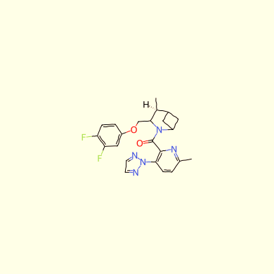 Cc1ccc(-n2nccn2)c(C(=O)N2C3CC(C3)[C@H](C)C2COc2ccc(F)c(F)c2)n1